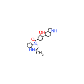 C[C@H]1CCN(C(=O)c2ccc(-c3ccc4[nH]ccc4c3)c(O)c2)c2ccccc2N1